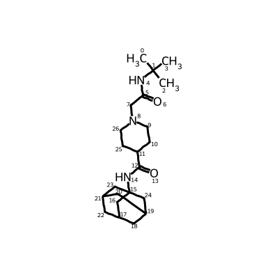 CC(C)(C)NC(=O)CN1CCC(C(=O)NC23CC4CC(CC(C4)C2)C3)CC1